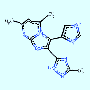 Cc1cc(C)n2c(-c3c[nH]cn3)c(-c3nc(C(F)(F)F)n[nH]3)nc2n1